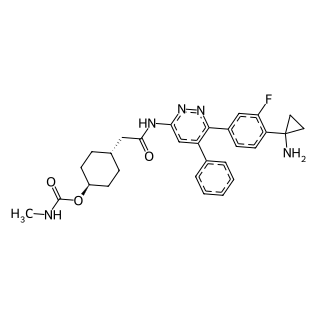 CNC(=O)O[C@H]1CC[C@H](CC(=O)Nc2cc(-c3ccccc3)c(-c3ccc(C4(N)CC4)c(F)c3)nn2)CC1